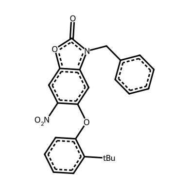 CC(C)(C)c1ccccc1Oc1cc2c(cc1[N+](=O)[O-])oc(=O)n2Cc1ccccc1